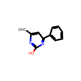 O=Cc1cc(-c2ccccc2)nc(O)n1